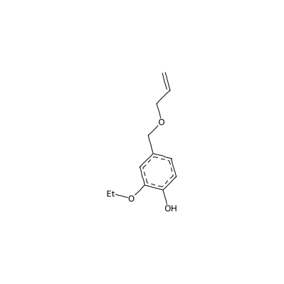 C=CCOCc1ccc(O)c(OCC)c1